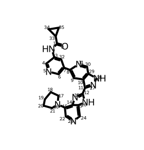 O=C(Nc1cncc(-c2cc3c(-c4nc5c(N6CCCCC6)cncc5[nH]4)n[nH]c3cn2)c1)C1CC1